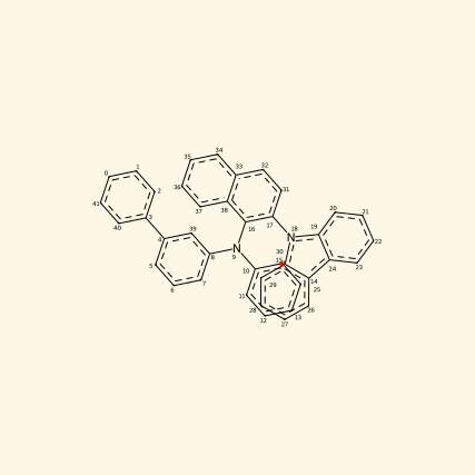 c1ccc(-c2cccc(N(c3ccccc3)c3c(-n4c5ccccc5c5ccccc54)ccc4ccccc34)c2)cc1